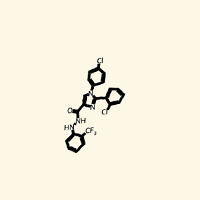 O=C(NNc1ccccc1C(F)(F)F)c1cn(-c2ccc(Cl)cc2)c(-c2ccccc2Cl)n1